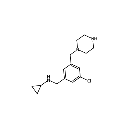 Clc1cc(CNC2CC2)cc(CN2CCNCC2)c1